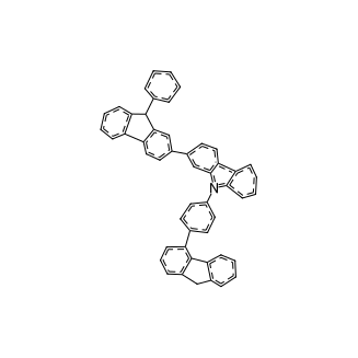 c1ccc(C2c3ccccc3-c3ccc(-c4ccc5c6ccccc6n(-c6ccc(-c7cccc8c7-c7ccccc7C8)cc6)c5c4)cc32)cc1